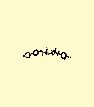 Cc1sc(NC(=O)NCc2ccc(N3CCNCC3)cc2)nc1C(C)(C)c1ccc(Br)cc1